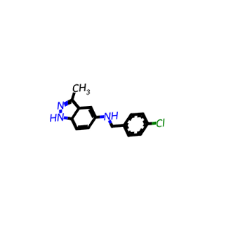 CC1=NNC2C=CC(NCc3ccc(Cl)cc3)=CC12